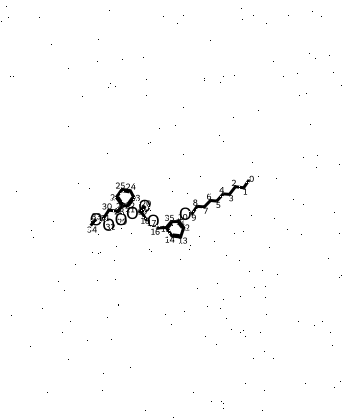 CCCCCCCCCCOc1cccc(COCC(=O)Oc2ccccc2C(=O)CC(=O)OC)c1